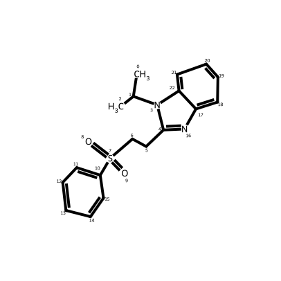 CC(C)n1c(CCS(=O)(=O)c2ccccc2)nc2ccccc21